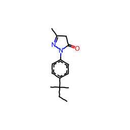 CCC(C)(C)c1ccc(N2N=C(C)CC2=O)cc1